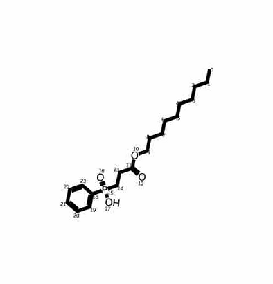 CCCCCCCCCCOC(=O)CCP(=O)(O)c1ccccc1